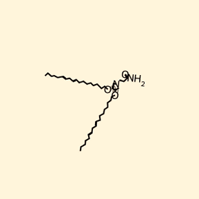 CCCCCC=CCC=CCCCCCCCCO[C@@H]1CN(CCC(N)=O)C[C@H]1OCCCCCCCCC=CCC=CCCCCC